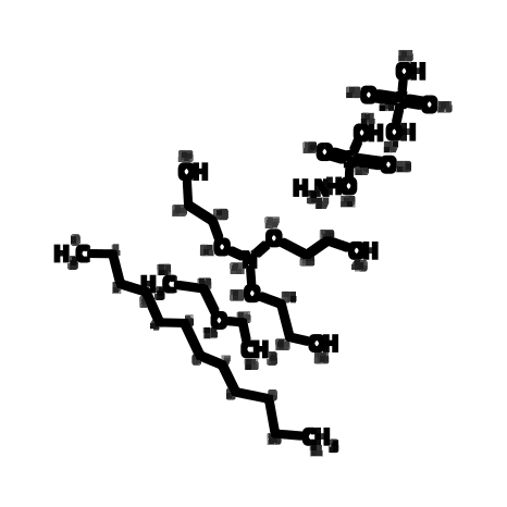 CCCCCCCCCCCC.CCOCC.N.O=S(=O)(O)O.O=S(=O)(O)O.OCCON(OCCO)OCCO